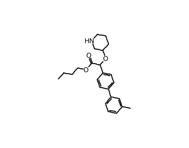 CCCCOC(=O)C(OC1CCCNC1)c1ccc(-c2cccc(C)c2)cc1